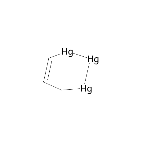 C1=[CH][Hg][Hg][Hg][CH2]1